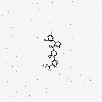 NC(=O)c1cc(N2CCC(C(=O)N3N=CCC3c3cc(F)cc(F)c3)CC23CC3)ncn1